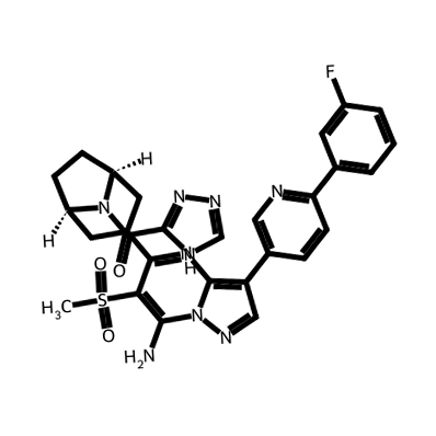 CS(=O)(=O)c1c(C2C[C@H]3CC[C@@H](C2)N3C(=O)c2nnc[nH]2)nc2c(-c3ccc(-c4cccc(F)c4)nc3)cnn2c1N